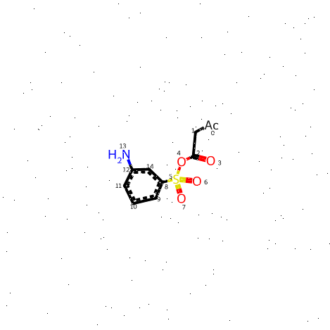 CC(=O)CC(=O)OS(=O)(=O)c1cccc(N)c1